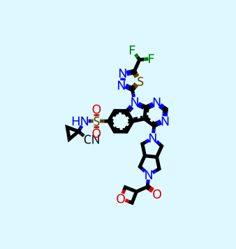 N#CC1(NS(=O)(=O)c2ccc3c4c(N5CC6CN(C(=O)C7COC7)CC6C5)ncnc4n(-c4nnc(C(F)F)s4)c3c2)CC1